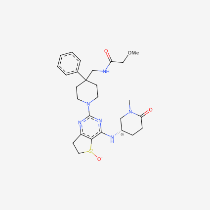 COCC(=O)NCC1(c2ccccc2)CCN(c2nc3c(c(N[C@H]4CCC(=O)N(C)C4)n2)[S+]([O-])CC3)CC1